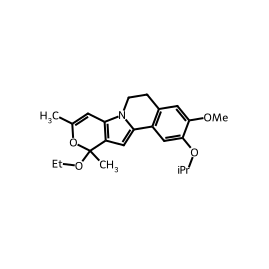 CCOC1(C)OC(C)=Cc2c1cc1n2CCc2cc(OC)c(OC(C)C)cc2-1